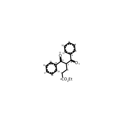 CCOC(=O)CCC(C(=O)c1ccccc1)C(=O)c1ccccc1